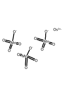 [O]=[Mn](=[O])(=[O])[O-].[O]=[Mn](=[O])(=[O])[O-].[O]=[Mn](=[O])(=[O])[O-].[Os+3]